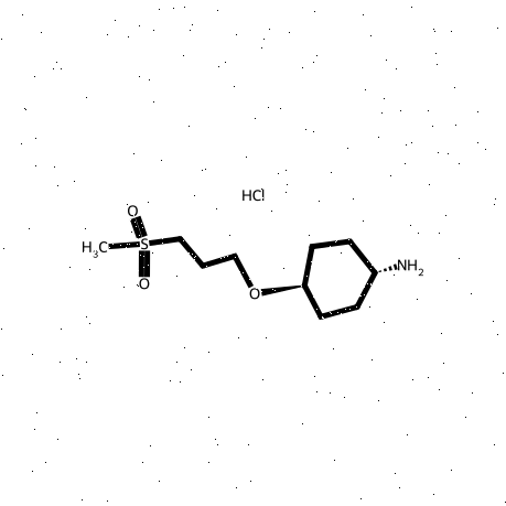 CS(=O)(=O)CCCO[C@H]1CC[C@H](N)CC1.Cl